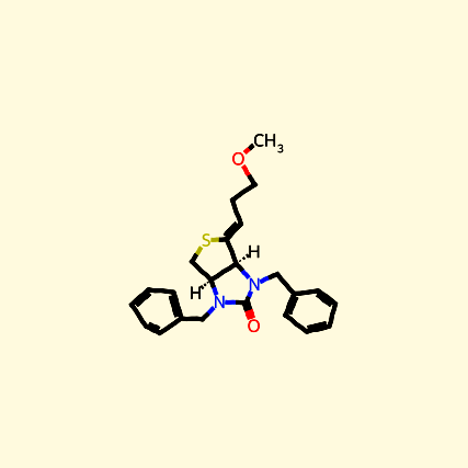 COCC/C=C1\SC[C@H]2[C@@H]1N(Cc1ccccc1)C(=O)N2Cc1ccccc1